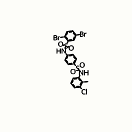 Cc1c(Cl)cccc1NS(=O)(=O)c1ccc(NS(=O)(=O)c2cc(Br)ccc2Br)cc1